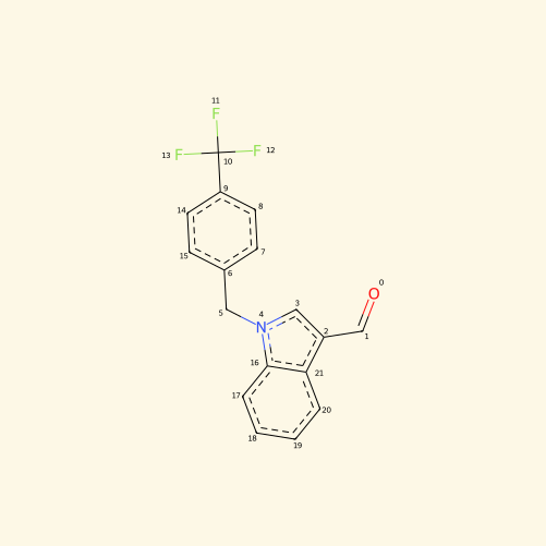 O=Cc1cn(Cc2ccc(C(F)(F)F)cc2)c2ccccc12